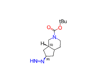 CC(C)(C)OC(=O)N1CCC2C[C@@H](N=N)C[C@@H]2C1